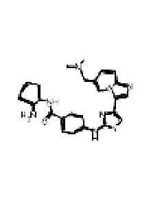 CN(C)Cc1ccc2ncc(-c3csc(Nc4ccc(C(=O)Nc5ccccc5N)cc4)n3)n2c1